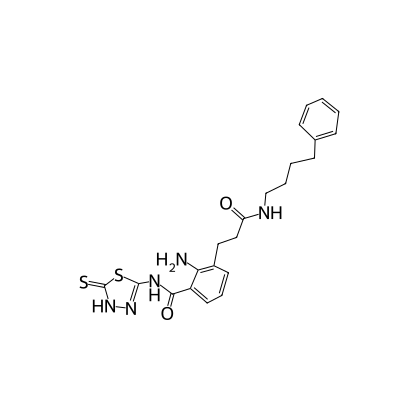 Nc1c(CCC(=O)NCCCCc2ccccc2)cccc1C(=O)Nc1n[nH]c(=S)s1